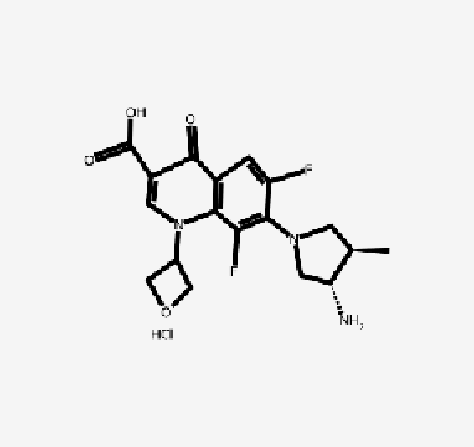 C[C@@H]1CN(c2c(F)cc3c(=O)c(C(=O)O)cn(C4COC4)c3c2F)C[C@H]1N.Cl